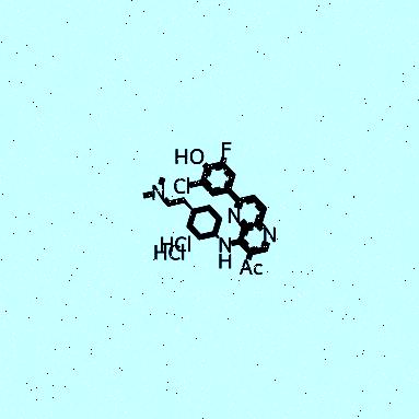 CC(=O)c1cnc2ccc(-c3cc(F)c(O)c(Cl)c3)nc2c1N[C@H]1CC[C@H](CCN(C)C)CC1.Cl.Cl